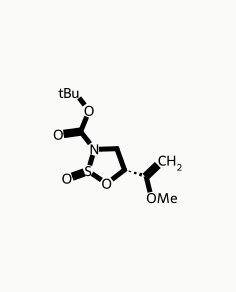 C=C(OC)[C@H]1CN(C(=O)OC(C)(C)C)S(=O)O1